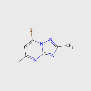 Cc1cc([S])n2nc(C(F)(F)F)nc2n1